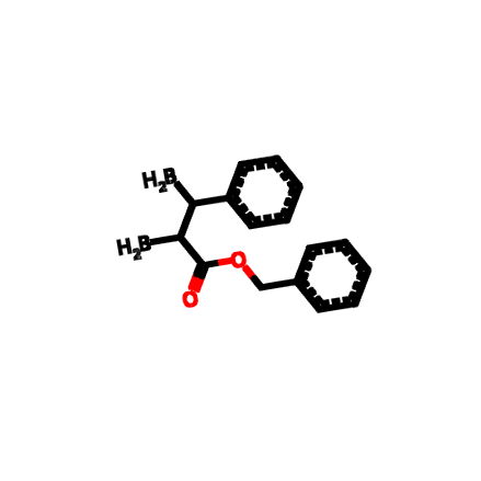 BC(C(=O)OCc1ccccc1)C(B)c1ccccc1